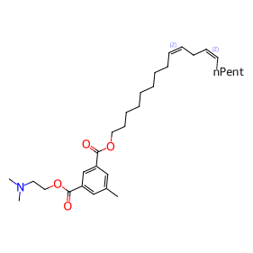 CCCCC/C=C\C/C=C\CCCCCCCCOC(=O)c1cc(C)cc(C(=O)OCCN(C)C)c1